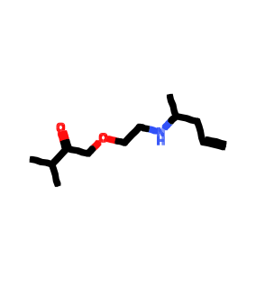 C=CCC(C)NCCOCC(=O)C(C)C